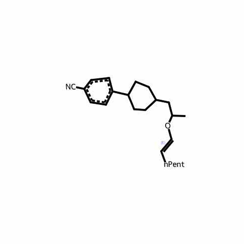 CCCCC/C=C/OC(C)CC1CCC(c2ccc(C#N)cc2)CC1